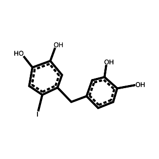 Oc1ccc(Cc2cc(O)c(O)cc2I)cc1O